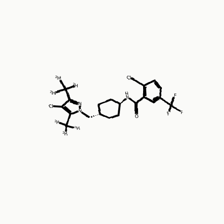 [2H]C([2H])([2H])c1nn(C[C@H]2CC[C@H](NC(=O)c3cc(C(F)(F)F)ccc3Cl)CC2)c(C([2H])([2H])[2H])c1Cl